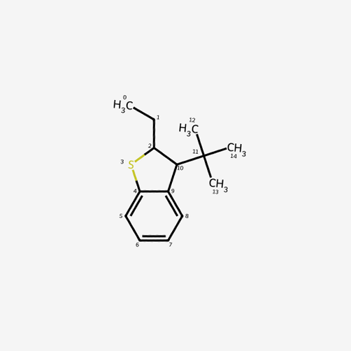 CCC1Sc2ccccc2C1C(C)(C)C